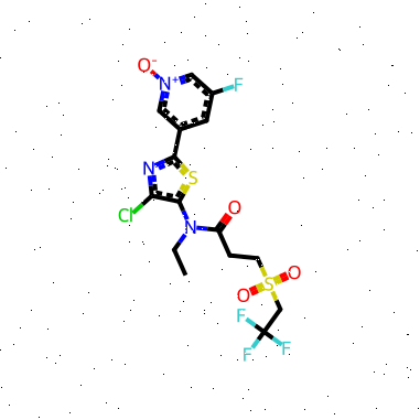 CCN(C(=O)CCS(=O)(=O)CC(F)(F)F)c1sc(-c2cc(F)c[n+]([O-])c2)nc1Cl